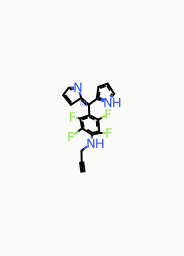 C#CCNc1c(F)c(F)c(/C(=C2\C=CC=N2)c2ccc[nH]2)c(F)c1F